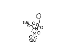 CC(C)(C)OC(=O)[C@@H]1CN(C(=O)OC(C)(C)C)C(=O)N1C(=O)OCc1ccccc1